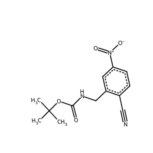 CC(C)(C)OC(=O)NCc1cc([N+](=O)[O-])ccc1C#N